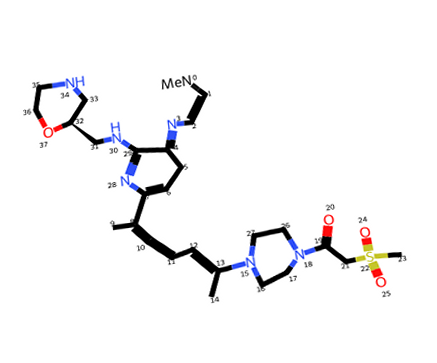 CN/C=C\N=C1/CC=C(C(C)=C=C/C=C(\C)N2CCN(C(=O)CS(C)(=O)=O)CC2)N=C1NC[C@@H]1CNCCO1